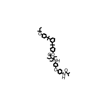 CCC(C(=O)Oc1ccc(C(C)(C)c2cccc(C(C)(C)c3ccc(OC(C)(C)CC)cc3)c2)cc1)C(CC)(CC)Nc1ccc(Oc2ccc(NC(=O)C(C)C)cc2)cc1